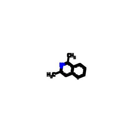 Cc1cc2[c]cccc2c(C)n1